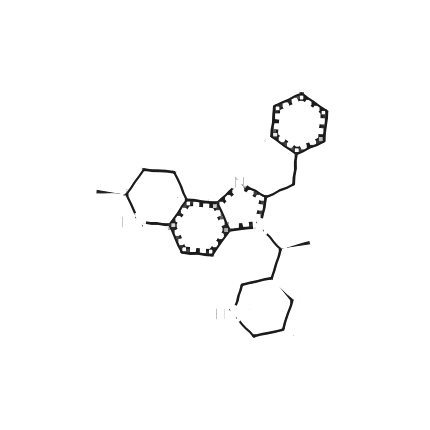 C[C@H]1CCc2c(ccc3c2nc(Cc2ccccc2)n3[C@@H](C)[C@H]2CCCNC2)N1